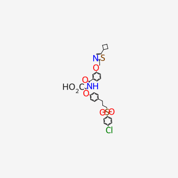 O=C(NC(Oc1ccc(CCCS(=O)(=O)c2ccc(Cl)cc2)cc1)C(=O)O)c1cccc(OCc2ncc(C3CCC3)s2)c1